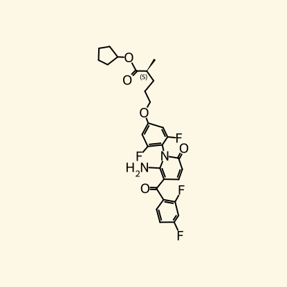 C[C@@H](CCCOc1cc(F)c(-n2c(N)c(C(=O)c3ccc(F)cc3F)ccc2=O)c(F)c1)C(=O)OC1CCCC1